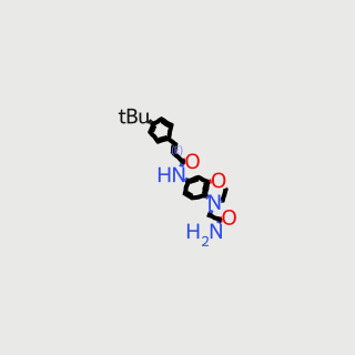 CC(C)(C)c1ccc(/C=C/C(=O)Nc2ccc3c(c2)OCCN3CC(N)=O)cc1